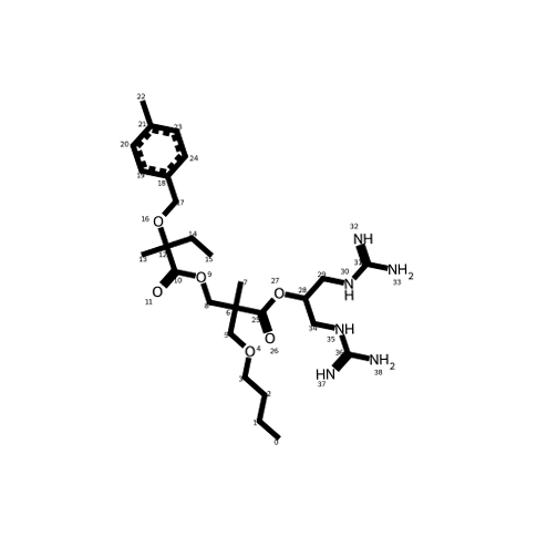 CCCCOCC(C)(COC(=O)C(C)(CC)OCc1ccc(C)cc1)C(=O)OC(CNC(=N)N)CNC(=N)N